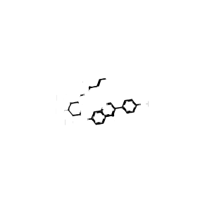 C/C=C/C(=O)OC[C@H]1O[C@@H](Oc2ccc3c(=O)c(-c4ccc(O)cc4)coc3c2)[C@H](O)[C@@H](O)[C@@H]1O